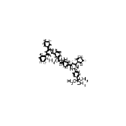 CC(C)(C)c1ccc(-c2nc(-c3ccccc3)cc(-c3ccc(CC(C)(C)c4cccc(-c5nc(-c6ccccc6)cc(-c6ccccc6)n5)c4)cc3)n2)cc1